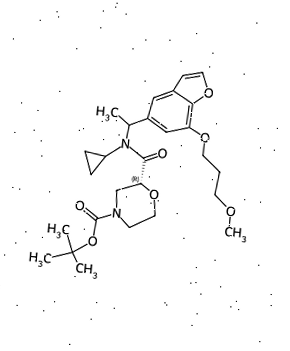 COCCCOc1cc(C(C)N(C(=O)[C@H]2CN(C(=O)OC(C)(C)C)CCO2)C2CC2)cc2ccoc12